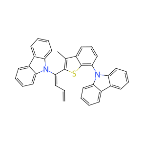 C=C/C=C(\c1sc2c(-n3c4ccccc4c4ccccc43)cccc2c1C)n1c2ccccc2c2ccccc21